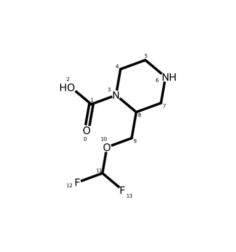 O=C(O)N1CCNCC1COC(F)F